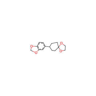 c1cc2c(cc1C1CCC3(CC1)OCCO3)OCO2